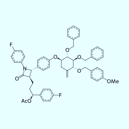 C=C1C[C@@H](Oc2ccc([C@@H]3[C@@H](CC[C@H](OC(C)=O)c4ccc(F)cc4)C(=O)N3c3ccc(F)cc3)cc2)[C@H](OCc2ccccc2)[C@@H](OCc2ccccc2)[C@@H]1OCc1ccc(OC)cc1